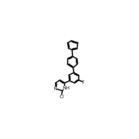 Fc1cc(C2=CC=NC(Cl)N2)cc(-c2ccc(-c3ccccc3)cc2)c1